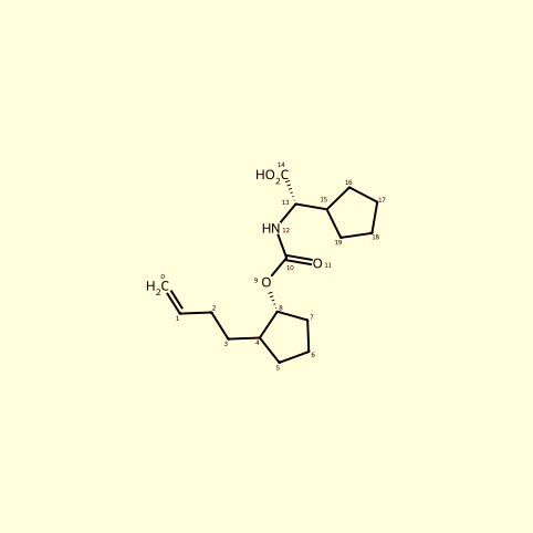 C=CCCC1CCC[C@H]1OC(=O)N[C@H](C(=O)O)C1CCCC1